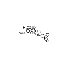 COc1cc(C)c(S(=O)(=O)N2CCCC2COCC(=O)NC2CCC(c3ccccc3)(N3CCOCC3)CC2)c(C)c1